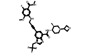 CNC(=O)c1cc(NCC#Cc2cc(C(=O)N[C@H]3CCN(C4COC4)C[C@@H]3C)c3ncn(CC(F)(F)F)c3c2)c(OC)cc1F